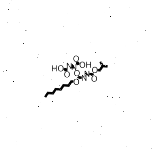 CCCCCCCCOC(=O)N=NC(=O)OCC(C)C.O=C(O)N=NC(=O)O